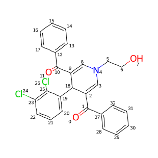 O=C(C1=CN(CCO)C=C(C(=O)c2ccccc2)C1c1cccc(Cl)c1Cl)c1ccccc1